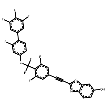 Oc1ccc2nc(C#Cc3cc(F)c(C(F)(F)Oc4ccc(-c5cc(F)c(F)c(F)c5)c(F)c4)c(F)c3)sc2c1